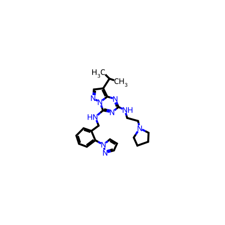 CC(C)c1cnn2c(NCc3ccccc3-n3cccn3)nc(NCCN3CCCC3)nc12